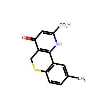 Cc1ccc2c(c1)-c1[nH]c(C(=O)O)cc(=O)c1CS2